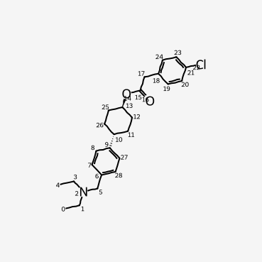 CCN(CC)Cc1ccc([C@H]2CC[C@H](OC(=O)Cc3ccc(Cl)cc3)CC2)cc1